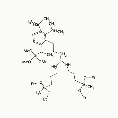 CCO[Si](C)(CCCNC(NCCC[Si](C)(OCC)OCC)[SiH2]CCc1c(C(C)[Si](OC)(OC)OC)ccc([SiH](C)C)c1[SiH](C)C)OCC